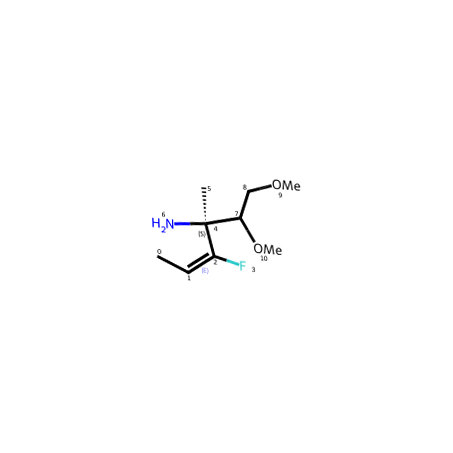 C/C=C(/F)[C@@](C)(N)C(COC)OC